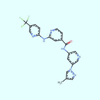 Cc1cnn(-c2cncc(NC(=O)c3ccnc(Nc4ccc(C(F)(F)F)cn4)c3)c2)c1